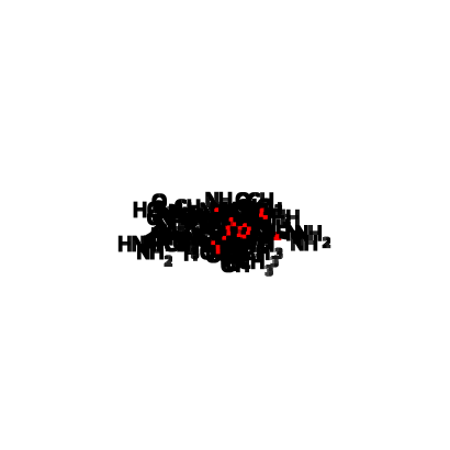 CC(C)C[C@H](NC(=O)[C@H](CCCNC(=N)N)NC(=O)[C@H](C)NC(=O)[C@H](CCC(N)=O)NC(=O)[C@H](CCCNC(=N)N)NC(=O)[C@H](CO)NC(=O)[C@H](CO)NC(=O)[C@@H](NC(=O)[C@H](CCCNC(=N)N)NC(=O)[C@H](C)NC(=O)[C@H](C)NC(=O)[C@H](C)NC(=O)[C@H](C)NC(=O)[C@H](CCCNC(=N)N)NC(=O)CNC(=O)[C@H](C)NC(=O)[C@H](CCCNC(=N)N)NC(=O)[C@@H](N)CCCNC(=N)N)C(C)C)C(=O)O